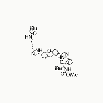 CC[C@H](C)CC(=O)NCCCCC1=NCC(c2ccc3c(c2)Oc2ccc(C4CN=C([C@@H]5CCCN5C(=O)[C@@H](NC(=O)OC)[C@@H](C)CC)N4)cc2C3)N1